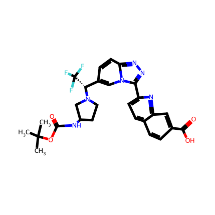 CC(C)(C)OC(=O)NC1CCN([C@@H](c2ccc3nnc(-c4ccc5ccc(C(=O)O)cc5n4)n3c2)C(F)(F)F)C1